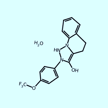 O.OC1=C2CCc3ccccc3N2NN1c1ccc(OC(F)(F)F)cc1